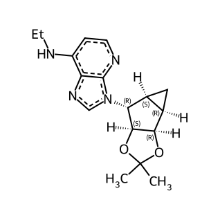 CCNc1ccnc2c1ncn2[C@@H]1[C@H]2C[C@H]2[C@H]2OC(C)(C)O[C@H]21